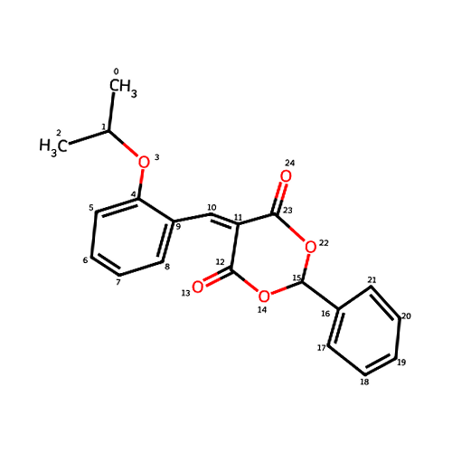 CC(C)Oc1ccccc1C=C1C(=O)OC(c2ccccc2)OC1=O